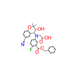 CC1(C)Oc2ccc(C#N)cc2C(N(CC(=O)O)c2ccc(F)c(C(=O)OCc3ccccc3)c2)C1O